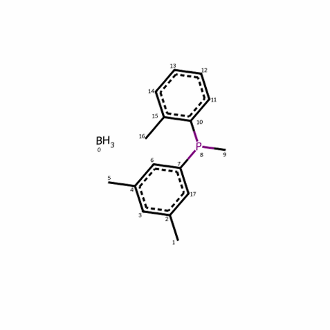 B.Cc1cc(C)cc(P(C)c2ccccc2C)c1